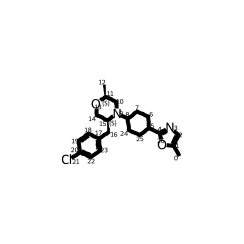 Cc1cnc(C2CCC(N3C[C@H](C)OC[C@@H]3Cc3ccc(Cl)cc3)CC2)o1